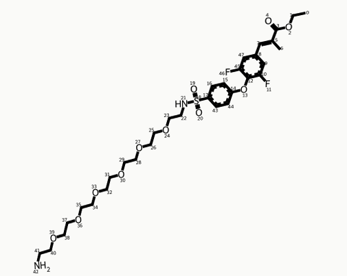 CCOC(=O)/C(C)=C/c1cc(F)c(Oc2ccc(S(=O)(=O)NCCOCCOCCOCCOCCOCCOCCN)cc2)c(F)c1